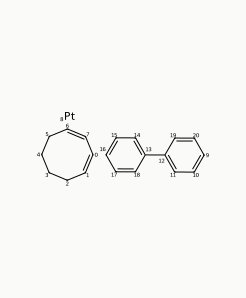 C1=C\CCCC\C=C/1.[Pt].c1ccc(-c2ccccc2)cc1